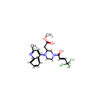 COC(=O)CC1CN(C(=O)C=CC(F)(F)F)CCN1c1cc(C)nc2ccccc12